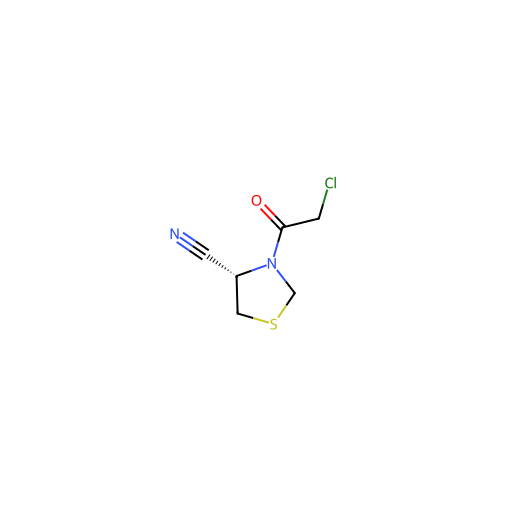 N#C[C@H]1CSCN1C(=O)CCl